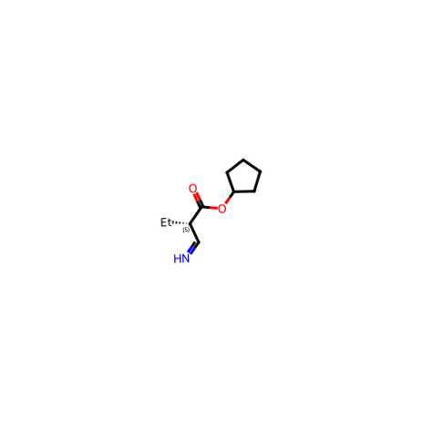 CC[C@@H](C=N)C(=O)OC1CCCC1